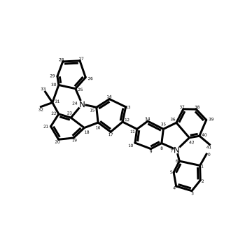 Cc1ccccc1-n1c2ccc(-c3ccc4c(c3)c3cccc5c3n4-c3ccccc3C5(C)C)cc2c2cccc(C)c21